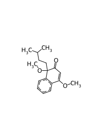 COC1=CC(=O)C(CCC(C)C)(OC)c2ccccc21